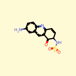 Nc1ccc2nc3c(cc2c1)C(=O)C(N[SH](=O)=O)C=C3